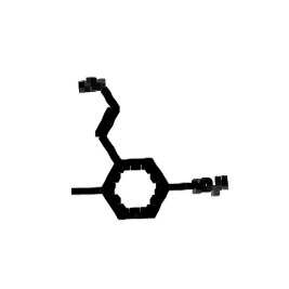 CCCC/C=C/c1cc(S(=O)(=O)O)ccc1C